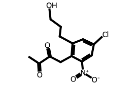 CC(=O)C(=O)Cc1c(CCCO)cc(Cl)cc1[N+](=O)[O-]